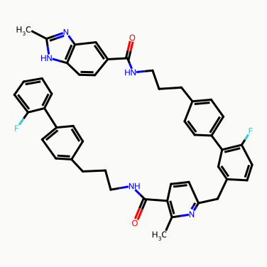 Cc1nc2cc(C(=O)NCCCc3ccc(-c4cc(Cc5ccc(C(=O)NCCCc6ccc(-c7ccccc7F)cc6)c(C)n5)ccc4F)cc3)ccc2[nH]1